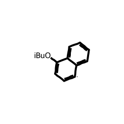 CC(C)COc1cc[c]c2ccccc12